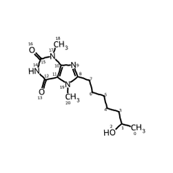 CC(O)CCCCCc1nc2c(c(=O)[nH]c(=O)n2C)n1C